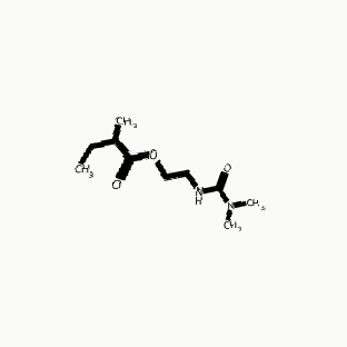 CCC(C)C(=O)OCCNC(=O)N(C)C